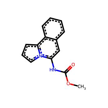 COC(=O)Nc1cc2ccccc2c2cccn12